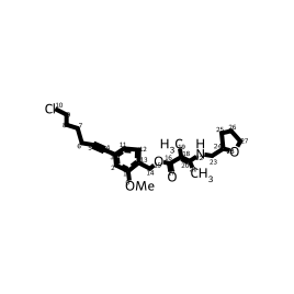 COc1cc(C#CCCCCCl)ccc1COC(=O)/C(C)=C(\C)NCC1CCCO1